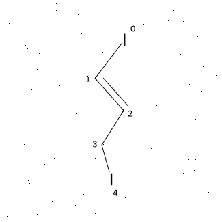 IC=CCI